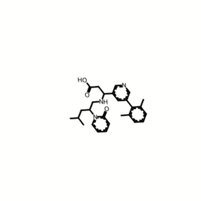 Cc1cccc(C)c1-c1cncc(C(CC(=O)O)NCC(CC(C)C)n2ccccc2=O)c1